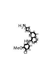 COc1cc(Nc2ncnc3ccc(N4CC(N)C4)nc23)ccc1Cl